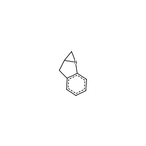 [CH]1C2Cc3ccccc3N12